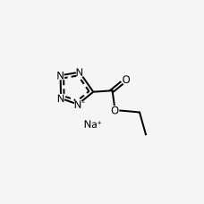 CCOC(=O)c1nnn[n-]1.[Na+]